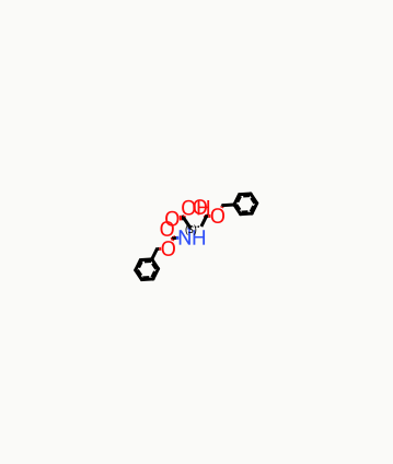 O=C(C[C@H](NC(=O)OCc1ccccc1)C(=O)O)OCc1ccccc1